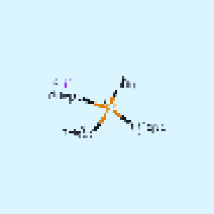 CCCCCCC[P+](CCCC)(CCCCCCC)CCCCCCC.[I-]